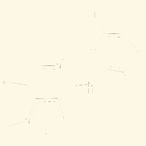 Cn1ccc2c(Nc3cccc(Cl)c3)ncc(Br)c21